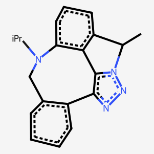 CC(C)N1Cc2ccccc2-c2nnn3c2-c2c(cccc21)C3C